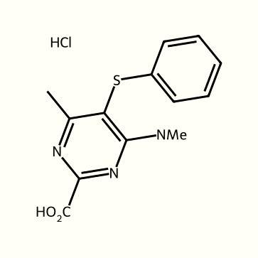 CNc1nc(C(=O)O)nc(C)c1Sc1ccccc1.Cl